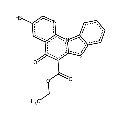 CCOC(=O)c1c(=O)c2cc(S)cnc2n2c1sc1ccccc12